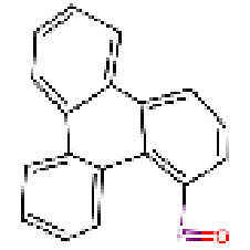 O=Pc1cccc2c3ccccc3c3ccccc3c12